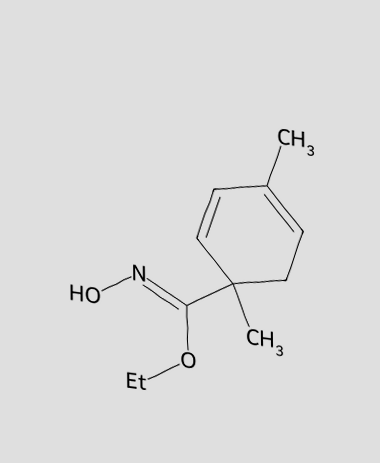 CCOC(=NO)C1(C)C=CC(C)=CC1